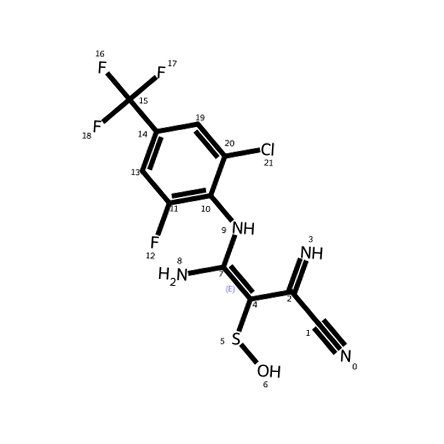 N#CC(=N)/C(SO)=C(/N)Nc1c(F)cc(C(F)(F)F)cc1Cl